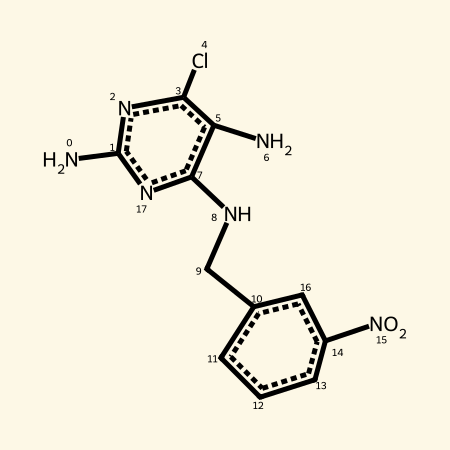 Nc1nc(Cl)c(N)c(NCc2cccc([N+](=O)[O-])c2)n1